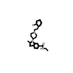 CCNC(=O)c1ccc2cc(C)n(C3CCN(CCc4ccccc4F)CC3)c2c1